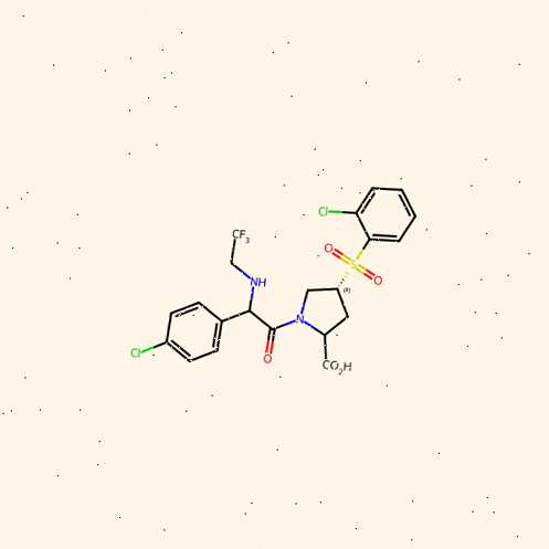 O=C(O)C1C[C@@H](S(=O)(=O)c2ccccc2Cl)CN1C(=O)C(NCC(F)(F)F)c1ccc(Cl)cc1